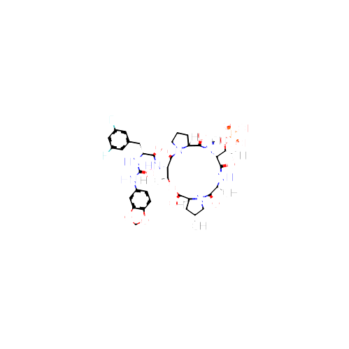 C[C@@H]1C[C@H]2C(=O)O[C@@H](C)[C@H](NC(=O)[C@H](Cc3cc(F)cc(F)c3)NC(=O)Nc3ccc4c(c3)OCO4)C(=O)N3CCC[C@H]3C(=O)N(C)[C@@H]([C@@H](C)OP(=O)(O)O)C(=O)N[C@@H](C)C(=O)N2C1